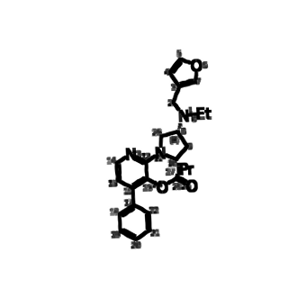 CCN(Cc1ccoc1)[C@@H]1CCN(c2nccc(-c3ccccc3)c2OC(=O)C(C)C)C1